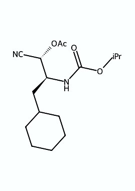 CC(=O)O[C@@H](C#N)[C@H](CC1CCCCC1)NC(=O)OC(C)C